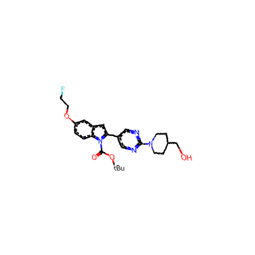 CC(C)(C)OC(=O)n1c(-c2cnc(N3CCC(CO)CC3)nc2)cc2cc(OCCF)ccc21